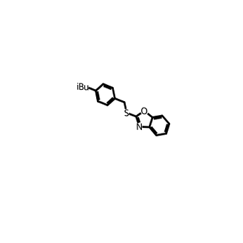 CCC(C)c1ccc(CSc2nc3ccccc3o2)cc1